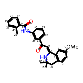 COc1ccc2c(c1)C(=CC(=O)c1cccc(NC(=O)c3ccccc3C)c1)NC(C)(C)C2